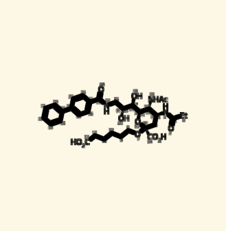 CCC(=O)N[C@H]1C[C@](OCCCCCC(=O)O)(C(=O)O)O[C@@H]([C@H](O)[C@H](O)CNC(=O)c2ccc(-c3ccccc3)cc2)[C@@H]1NC(C)=O